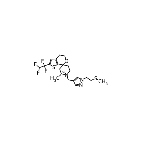 CSCCn1cc(CN2CCC3(C[C@@H]2C)OCCc2cc(C(F)(F)C(F)F)sc23)cn1